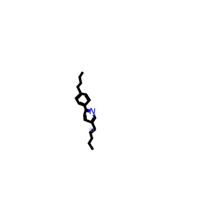 CCC/C=C/c1ccc(-c2ccc(CCCC)cc2)nc1